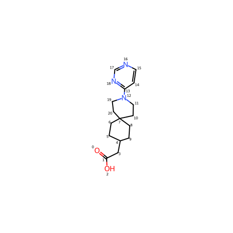 O=C(O)CC1CCC2(CC1)CCN(c1ccncn1)CC2